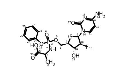 CC(NP(=O)(OC[C@H]1S[C@@H](n2ccc(N)nc2=O)[C@@H](F)[C@@H]1O)Oc1ccccc1)C(=O)O